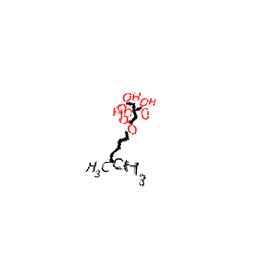 CC(C)CCCCCOC(=O)CC(O)(CC(=O)O)C(=O)O